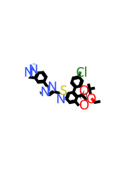 CCOC(=O)[C@@H](OC(C)(C)C)c1c(C)cc2nc(-c3cn(C)c(-c4ccc5c(cnn5C)c4)n3)sc2c1-c1ccc(Cl)cc1